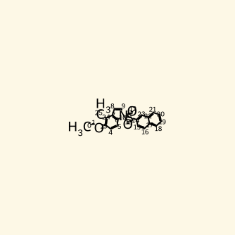 CCOc1ccc2c(ccn2S(=O)(=O)c2ccc3ccccc3c2)c1C